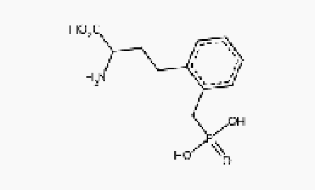 NC(CCc1ccccc1CP(=O)(O)O)C(=O)O